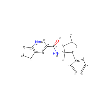 CC(C)CC(C)(Cc1ccccc1)NC(=O)c1cnc2c(c1)CCC2